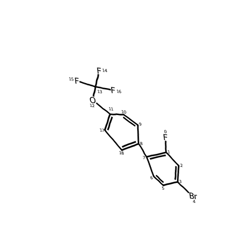 Fc1cc(Br)ccc1-c1ccc(OC(F)(F)F)cc1